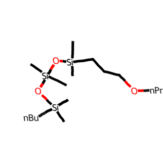 CCCC[Si](C)(C)O[Si](C)(C)O[Si](C)(C)CCCOCCC